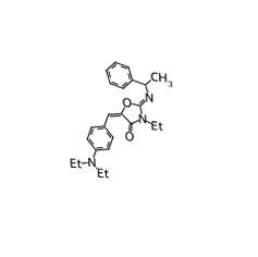 CCN1C(=O)/C(=C\c2ccc(N(CC)CC)cc2)OC1=NC(C)c1ccccc1